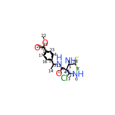 CN/C(Cl)=C(\C(=N)C(F)F)C(=O)NC(C)c1ccc(C(=O)OC)cc1